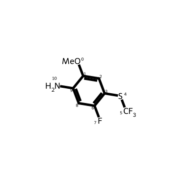 COc1cc(SC(F)(F)F)c(F)cc1N